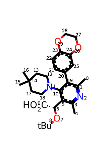 Cc1nc(C)c([C@H](OC(C)(C)C)C(=O)O)c(N2CCC(C)(C)CC2)c1-c1ccc2c(c1)OCCO2